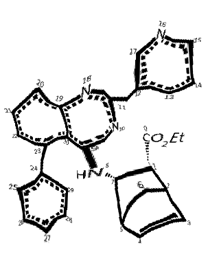 CCOC(=O)[C@@H]1C2C=CC(C2)[C@@H]1Nc1nc(-c2cccnc2)nc2cccc(-c3ccccc3)c12